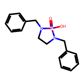 O=P1(O)N(Cc2ccccc2)CCN1Cc1ccccc1